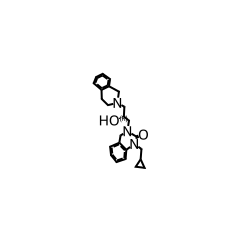 O=C1N(C[C@H](O)CN2CCc3ccccc3C2)Cc2ccccc2N1CC1CC1